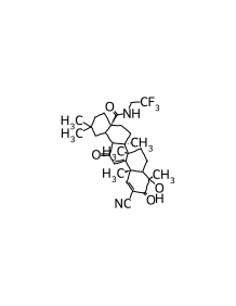 CC1(C)CC[C@]2(C(=O)NCC(F)(F)F)CC[C@]3(C)C(C(=O)C=C4[C@@]5(C)C=C(C#N)C(=O)[C@@](C)(O)C5CC[C@]43C)C2C1